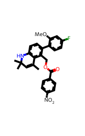 COc1cc(F)ccc1-c1ccc2c(c1COC(=O)c1ccc([N+](=O)[O-])cc1)C(C)=CC(C)(C)N2